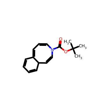 CC(C)(C)OC(=O)N1/C=C\C=C2\C=CC=CC2/C=C\1